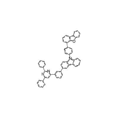 c1ccc(-c2cc(-c3cccc(-c4ccc5c(c4)c4ccccc4n5-c4ccc(-c5cccc6c5oc5ccccc56)cc4)c3)nc(-c3ccccc3)n2)cc1